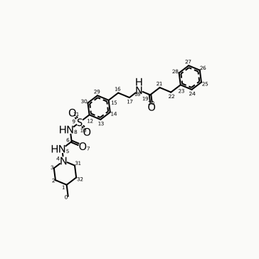 CC1CCN(NC(=O)NS(=O)(=O)c2ccc(CCNC(=O)CCc3ccccc3)cc2)CC1